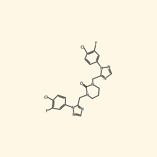 O=C1N(Cc2ncnn2-c2ccc(Cl)c(F)c2)CCCN1Cc1ncnn1-c1ccc(Cl)c(F)c1